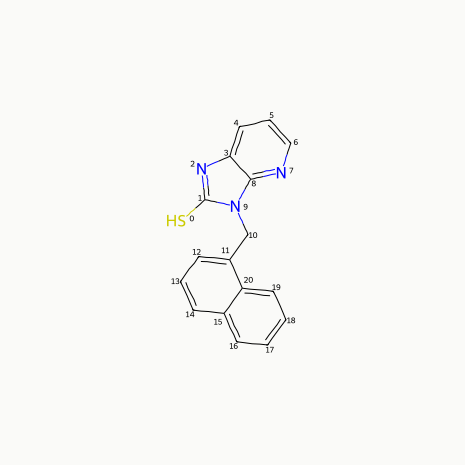 Sc1nc2cccnc2n1Cc1cccc2ccccc12